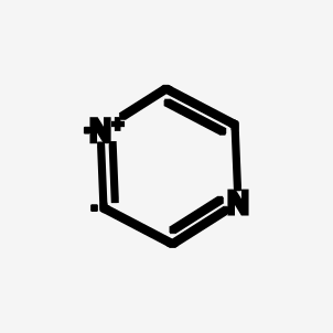 [C]1=[N+]C=CN=C1